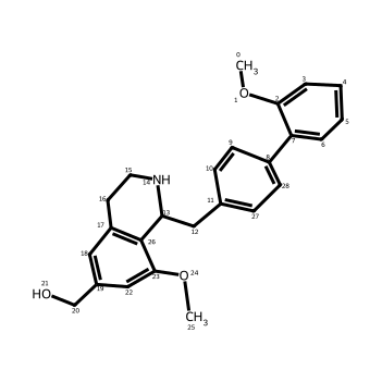 COc1ccccc1-c1ccc(CC2NCCc3cc(CO)cc(OC)c32)cc1